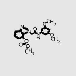 COC(=O)Oc1cccc2ncn(CC(=O)Nc3cc(OC)cc(OC)c3)c12